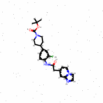 CC(C)(C)OC(=O)N1CCC(c2ccc(NC(=O)Cc3ccn4ccnc4c3)c(F)c2)CC1